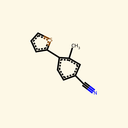 Cc1cc(C#N)ccc1-c1cccs1